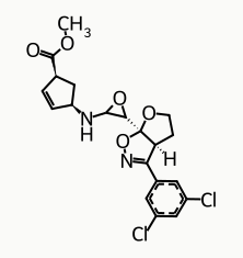 COC(=O)[C@@H]1C=C[C@H](NC2OC2[C@]23OCC[C@H]2C(c2cc(Cl)cc(Cl)c2)=NO3)C1